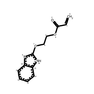 C=CC(=O)OCCOc1nc2ccccc2[nH]1